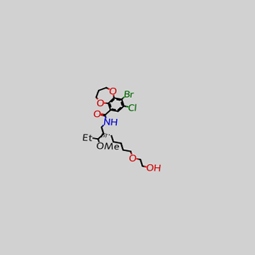 CCC(OC)[C@@H](CCCCCOCCO)CNC(=O)c1cc(Cl)c(Br)c2c1OCCCO2